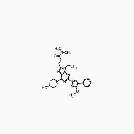 CCn1c(CCC(=O)N(C)C)nc2c(N3CCC(O)CC3)nc(-n3cc(-c4ccccc4)c(OC)n3)nc21